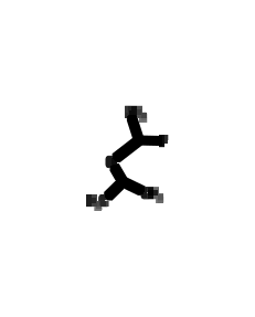 BC(F)OC(C)C